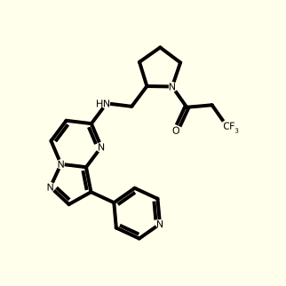 O=C(CC(F)(F)F)N1CCCC1CNc1ccn2ncc(-c3ccncc3)c2n1